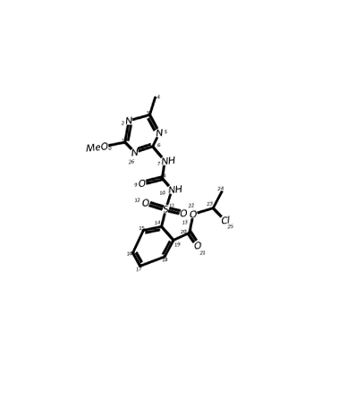 COc1nc(C)nc(NC(=O)NS(=O)(=O)c2ccccc2C(=O)OC(C)Cl)n1